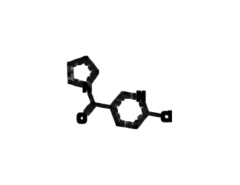 O=C(c1ccc(Cl)nc1)n1cccc1